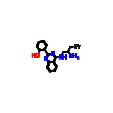 CC(C)CC(N)CNc1nc(-c2ccccc2O)nc2ccccc12